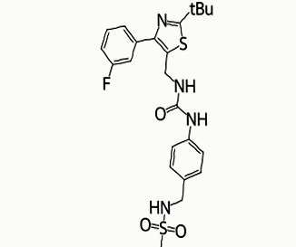 CC(C)(C)c1nc(-c2cccc(F)c2)c(CNC(=O)Nc2ccc(CNS(C)(=O)=O)cc2)s1